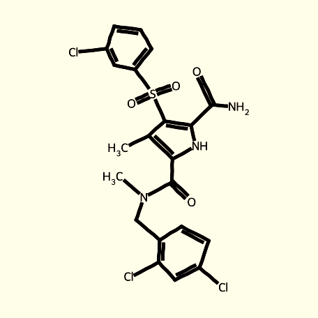 Cc1c(C(=O)N(C)Cc2ccc(Cl)cc2Cl)[nH]c(C(N)=O)c1S(=O)(=O)c1cccc(Cl)c1